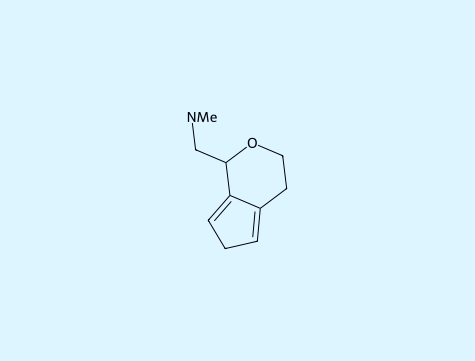 CNCC1OCCC2=CCC=C21